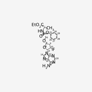 CCOC(=O)[C@H](C)N[P@](=O)(CO[C@@H]1CC(F)[C@H](n2cnc3c(N)ncnc32)O1)Oc1ccccc1